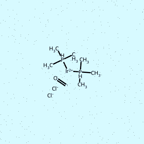 C[PH](C)(C)[Ir+2][PH](C)(C)C.[C]=O.[Cl-].[Cl-]